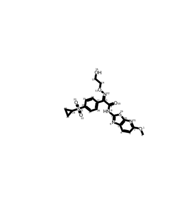 COc1ccc2nc(NC(=O)/C(=N/OCCO)c3ccc(S(=O)(=O)C4CC4)cc3)sc2n1